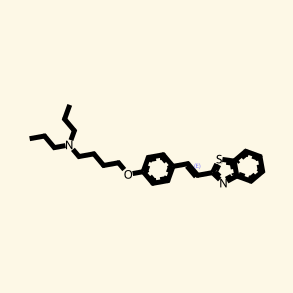 CCCN(CCC)CCCCOc1ccc(/C=C/c2nc3ccccc3s2)cc1